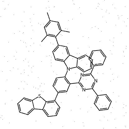 Cc1cc(C)c(-c2ccc3c(c2)c2ccccc2n3-c2ccc(-c3cccc4c3sc3ccccc34)cc2-c2nc(-c3ccccc3)nc(-c3ccccc3)n2)c(C)c1